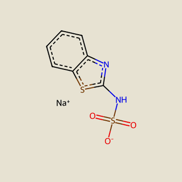 O=S(=O)([O-])Nc1nc2ccccc2s1.[Na+]